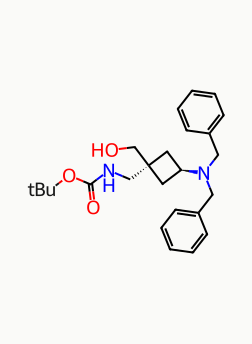 CC(C)(C)OC(=O)NC[C@]1(CO)C[C@@H](N(Cc2ccccc2)Cc2ccccc2)C1